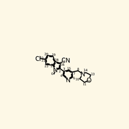 Cn1c(-c2cncc(CN3CCOCC3)c2)c(C#N)c2ccc(Cl)cc21